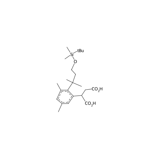 Cc1cc(C)c(C(C)(C)CCO[Si](C)(C)C(C)(C)C)c(C(CC(=O)O)C(=O)O)c1